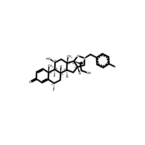 C[C@]12C=CC(=O)C=C1[C@@H](F)C[C@H]1[C@@H]3C[C@H]4CN(Cc5ccc(F)cc5)O[C@@]4(C(=O)CO)[C@@]3(C)C[C@H](O)[C@@]12F